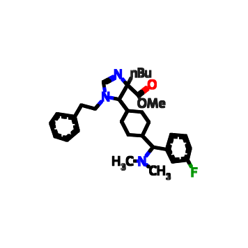 CCCCC1(C(=O)OC)N=CN(CCc2ccccc2)C1C1CCC(C(c2cccc(F)c2)N(C)C)CC1